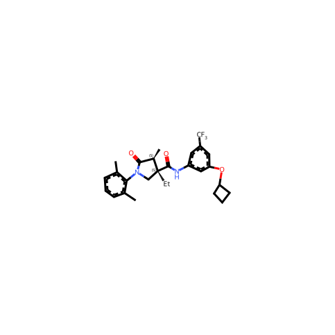 CC[C@@]1(C(=O)Nc2cc(OC3CCC3)cc(C(F)(F)F)c2)CN(c2c(C)cccc2C)C(=O)[C@H]1C